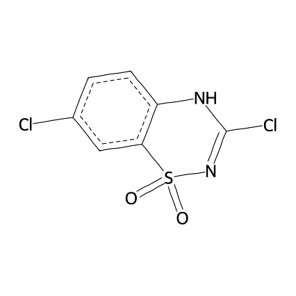 O=S1(=O)N=C(Cl)Nc2ccc(Cl)cc21